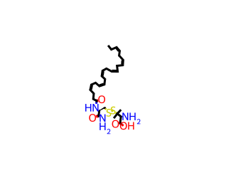 CC/C=C\C/C=C\C/C=C\C/C=C\C/C=C\C/C=C\CCC(=O)N[C@@H](CSSC(C)(C)[C@H](N)C(=O)O)C(N)=O